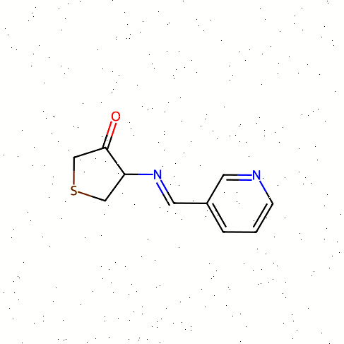 O=C1CSCC1N=Cc1cccnc1